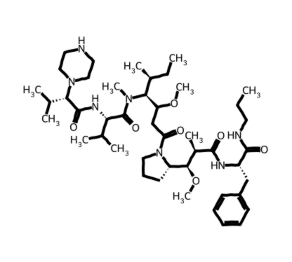 CCCNC(=O)[C@H](Cc1ccccc1)NC(=O)[C@H](C)[C@@H](OC)[C@@H]1CCCN1C(=O)CC(OC)[C@H]([C@@H](C)CC)N(C)C(=O)[C@@H](NC(=O)[C@H](C(C)C)N1CCNCC1)C(C)C